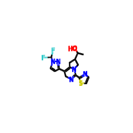 CC(O)C1CC2=C(c3ccn(C(F)F)n3)CN=C(c3nccs3)N2C1